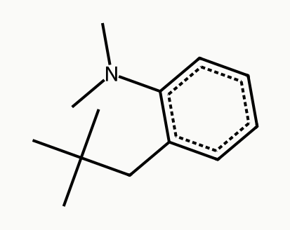 CN(C)c1ccccc1CC(C)(C)C